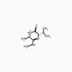 CC(C)[C@H](N=C(NN)NN)C(=O)O